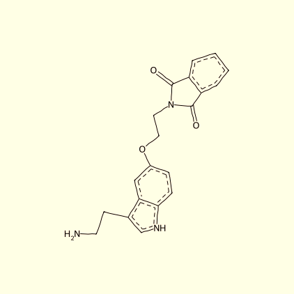 NCCc1c[nH]c2ccc(OCCN3C(=O)c4ccccc4C3=O)cc12